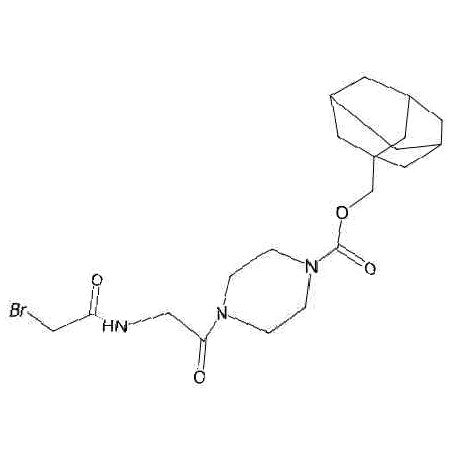 O=C(CBr)NCC(=O)N1CCN(C(=O)OCC23CC4CC(CC(C4)C2)C3)CC1